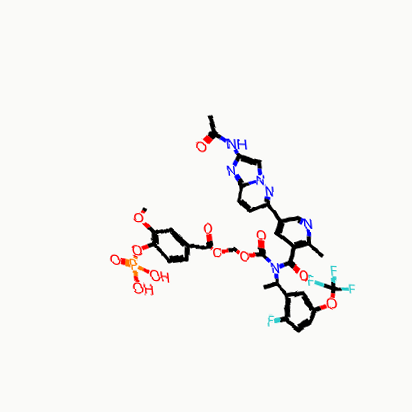 COc1cc(C(=O)OCOC(=O)N(C(=O)c2cc(-c3ccc4nc(NC(C)=O)cn4n3)cnc2C)C(C)c2cc(OC(F)(F)F)ccc2F)ccc1OP(=O)(O)O